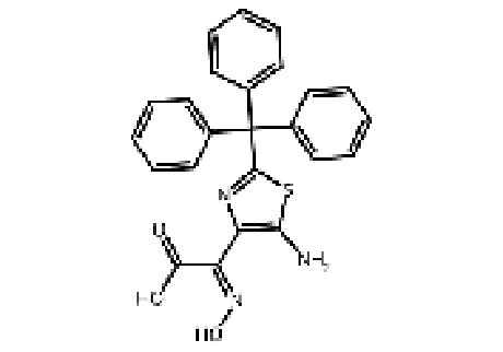 Nc1sc(C(c2ccccc2)(c2ccccc2)c2ccccc2)nc1/C(=N/O)C(=O)O